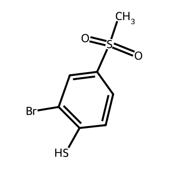 CS(=O)(=O)c1ccc(S)c(Br)c1